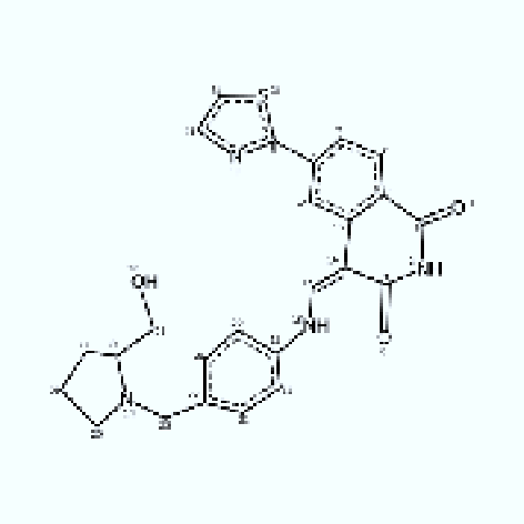 O=C1NC(=O)c2ccc(-c3nccs3)cc2/C1=C/Nc1ccc(CN2CCCC2CO)cc1